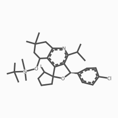 CC(C)c1nc2c(c3c1[C@@H](c1ccc(Cl)cc1)OC31CCCC1I)C(O[Si](C)(C)C(C)(C)C)CC(C)(C)C2